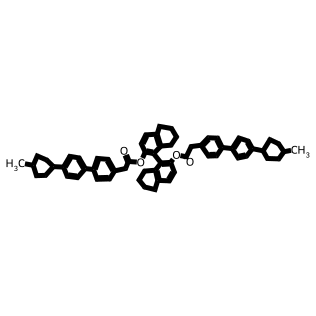 CC1CCC(c2ccc(-c3ccc(CC(=O)Oc4ccc5c(c4-c4c(OC(=O)Cc6ccc(-c7ccc(C8CCC(C)CC8)cc7)cc6)ccc6c4CCCC6)CCCC5)cc3)cc2)CC1